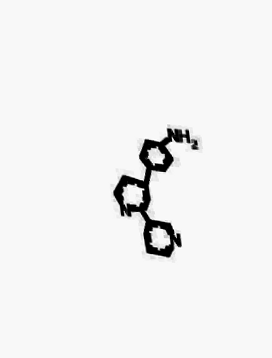 Nc1ccc(-c2ccnc(-c3cccnc3)c2)cc1